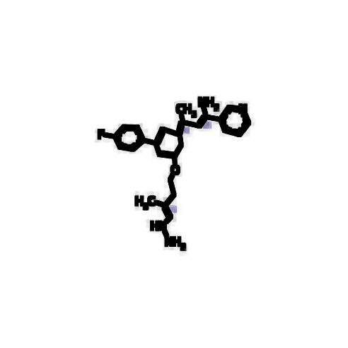 C/C(=C\NN)CCOC1=CC(c2ccc(F)cc2)=C/C(=C(C)/C=C(\N)c2cccnc2)C1